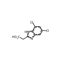 O=C(O)Cc1nc2cc(Cl)cc(Cl)c2[nH]1